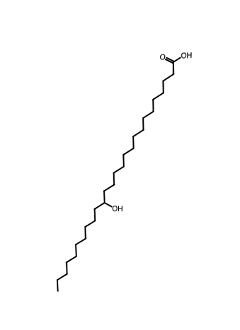 CCCCCCCCCCC(O)CCCCCCCCCCCCCCC(=O)O